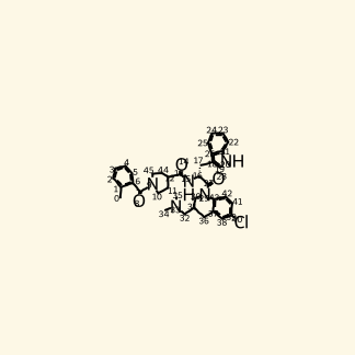 Cc1ccccc1C(=O)N1CCC(C(=O)N[C@H](Cc2c[nH]c3ccccc23)C(=O)N2CC(CN(C)C)Cc3cc(Cl)ccc32)CC1